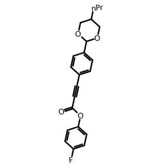 CCCC1COC(c2ccc(C#CC(=O)Oc3ccc(F)cc3)cc2)OC1